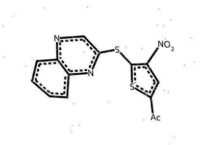 CC(=O)c1cc([N+](=O)[O-])c(Sc2cnc3ccccc3n2)s1